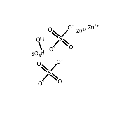 O=S(=O)(O)O.O=S(=O)([O-])[O-].O=S(=O)([O-])[O-].[Zn+2].[Zn+2]